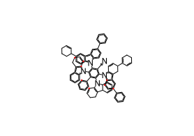 N#Cc1c(-n2c3c(c4cc(-c5ccccc5)ccc42)CC(C2=CCCC=C2)C=C3)c(N2C3=C(CCC=C3)C3C=CC=CC32)c(-c2ccccc2)c(-n2c3c(c4ccccc42)CCC=C3)c1-n1c2ccc(-c3ccccc3)cc2c2cc(C3C=CCCC3)ccc21